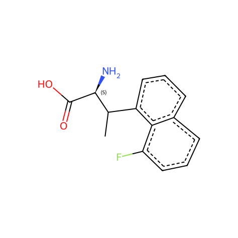 CC(c1cccc2cccc(F)c12)[C@H](N)C(=O)O